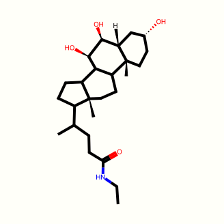 CCNC(=O)CCC(C)C1CCC2C3C(CC[C@]12C)[C@@]1(C)CC[C@@H](O)C[C@H]1[C@H](O)[C@@H]3O